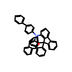 c1ccc(-c2ccc(N(c3ccc4ccccc4c3)c3cccc4c3C(c3ccccc3)(c3ccccc3)c3ccccc3-4)cc2)cc1